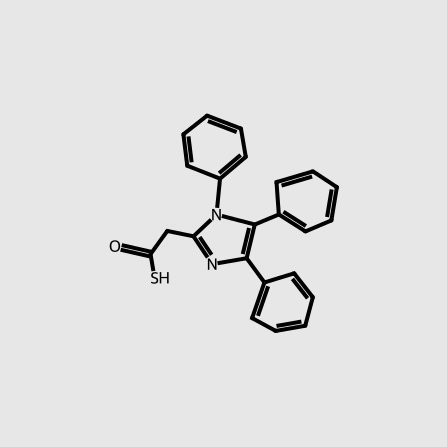 O=C(S)Cc1nc(-c2ccccc2)c(-c2ccccc2)n1-c1ccccc1